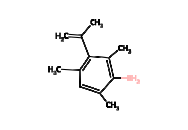 Bc1c(C)cc(C)c(C(=C)C)c1C